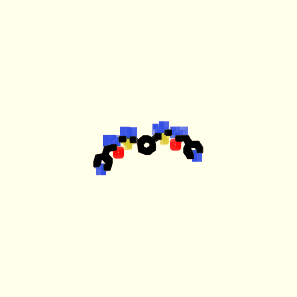 O=C(Cc1ccncc1)Nc1nnc([C@H]2CCC[C@H](c3nnc(NC(=O)Cc4ccncc4)s3)C2)s1